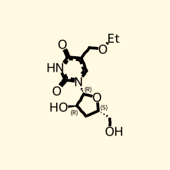 CCOCc1cn([C@@H]2O[C@H](CO)C[C@H]2O)c(=O)[nH]c1=O